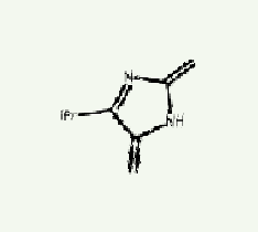 C=c1nc(C(C)C)c(=C)[nH]1